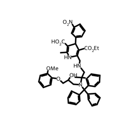 CCOC(=O)C1=C(CNCC(C)(C)N(CC(O)COc2ccccc2OC)C(c2ccccc2)(c2ccccc2)c2ccccc2)NC(C)=C(C(=O)O)C1c1cccc([N+](=O)[O-])c1